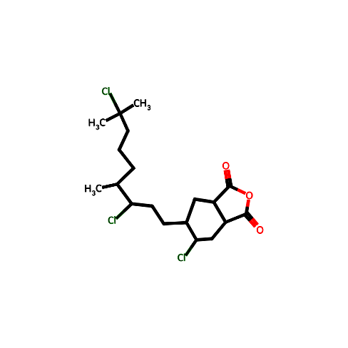 CC(CCCC(C)(C)Cl)C(Cl)CCC1CC2C(=O)OC(=O)C2CC1Cl